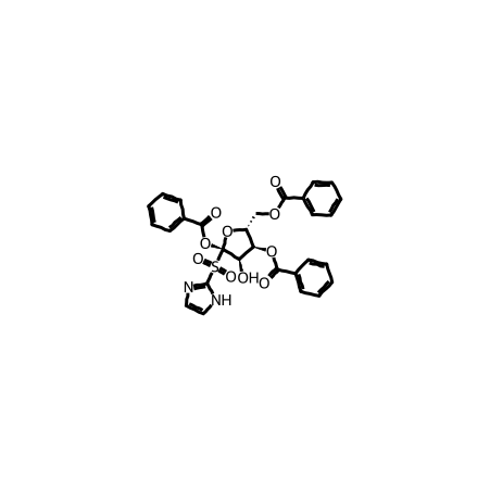 O=C(OC[C@H]1O[C@@](OC(=O)c2ccccc2)(S(=O)(=O)c2ncc[nH]2)[C@H](O)[C@@H]1OC(=O)c1ccccc1)c1ccccc1